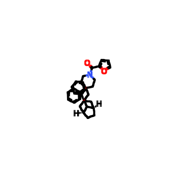 O=C(c1ccco1)N1CCC(CCC2[C@@H]3CC[C@H]2C[C@@H](c2ccccc2)C3)(c2ccccc2)CC1